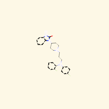 O=c1[nH]c2ccccc2n1C1CCN(CCCN(c2ccc(F)cc2)c2ccccc2F)CC1